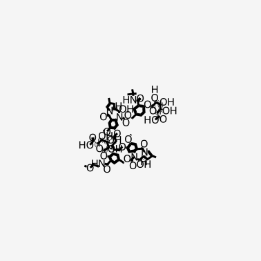 COCCNC(=O)c1cc(COC(=O)N2c3cc(OCCCCCOc4cc5c(cc4OC)C(=O)N4C=C(C)C[C@H]4C(O)N5C(=O)OCc4ccc(O[C@@H]5O[C@H](C(=O)O)[C@@H](O)[C@H](O)[C@H]5O)c(C(=O)NC(C)(C)C)c4)c(OC)cc3C(=O)N3C=C(C)C[C@H]3C2O)ccc1O[C@@H]1O[C@H](C(=O)O)[C@@H](O)[C@H](O)[C@H]1O